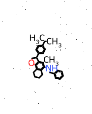 Cc1c(NCc2ccccc2)c2c(c3c1C(c1ccc(C(C)C)cc1)CO3)CCCC2